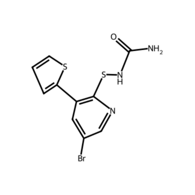 NC(=O)NSc1ncc(Br)cc1-c1cccs1